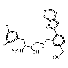 CC(=O)NC(Cc1cc(F)cc(F)c1)C(O)CNCc1cc(CC(C)(C)C)ccc1-c1cc2ccccc2o1